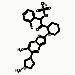 Cc1cn2nc([C@@H]3CCCCN3C(=O)C(NS(C)(=O)=O)c3ccccc3Cl)cc2nc1N1CC[C@H](N)C1